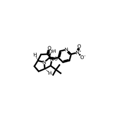 CC(C)(C)C1[C@H]2CC[C@@H](CC(=O)N1c1ccc([N+](=O)[O-])nc1)N2C(=O)O